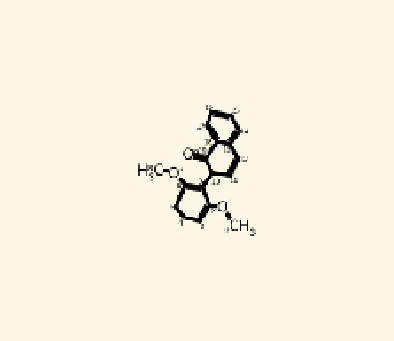 COC1=CCCC(OC)=C1C1C=Cc2ccccc2C1=O